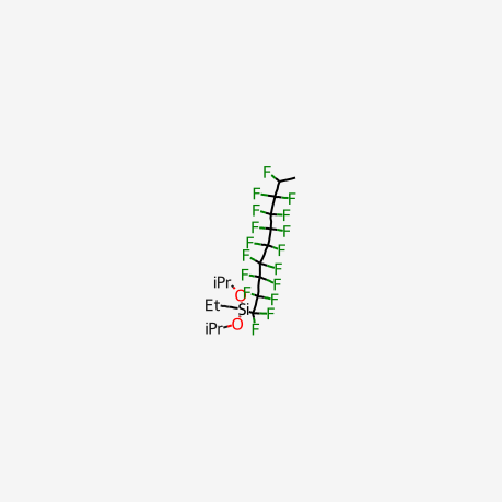 CC[Si](OC(C)C)(OC(C)C)C(F)(F)C(F)(F)C(F)(F)C(F)(F)C(F)(F)C(F)(F)C(F)(F)C(F)(F)C(C)F